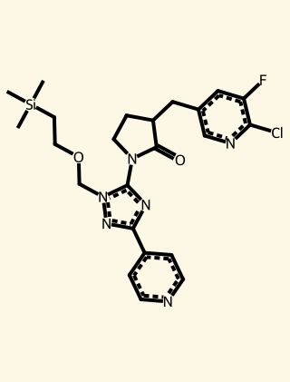 C[Si](C)(C)CCOCn1nc(-c2ccncc2)nc1N1CCC(Cc2cnc(Cl)c(F)c2)C1=O